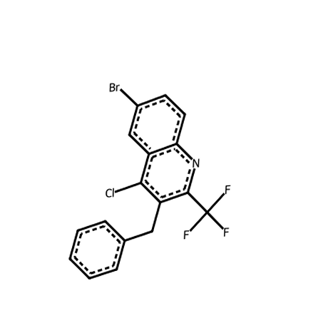 FC(F)(F)c1nc2ccc(Br)cc2c(Cl)c1Cc1ccccc1